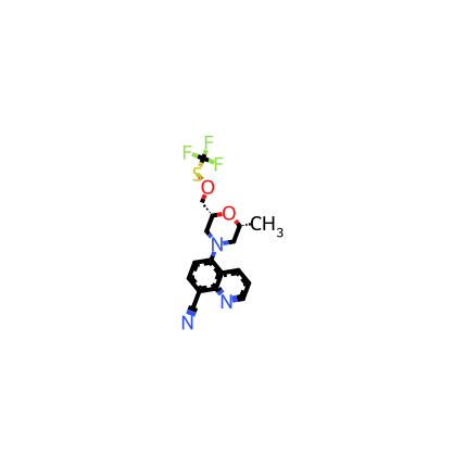 C[C@@H]1CN(c2ccc(C#N)c3ncccc23)C[C@H](COSC(F)(F)F)O1